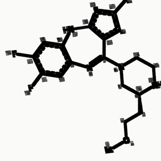 CCOCC[C@H]1CN(C2=Nc3cc(F)c(F)cc3Nc3sc(C)cc32)CCN1